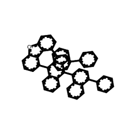 c1ccc(-c2cccc(-c3cccc4oc5cccc(-c6c7ccccc7c(-c7ccc(-c8ccccc8)c8ccccc78)c7ccccc67)c5c34)c2)cc1